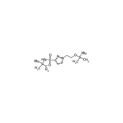 CC(C)(C)[Si](C)(C)NS(=O)(=O)c1ccn(CCO[Si](C)(C)C(C)(C)C)n1